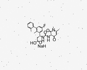 CC1=CC(=O)C(NC(=O)N[C@@H](CC(=O)O)c2cc(F)cc(-c3ccccc3C)c2C)C(=O)N1C.[NaH]